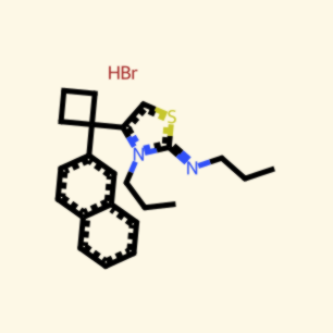 Br.CCCN=c1scc(C2(c3ccc4ccccc4c3)CCC2)n1CCC